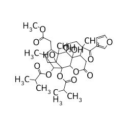 COC(=O)CC1C2(C)CC3(O)C(OC(=O)C(C)C)(C2OC(=O)C(C)C)C2OC(=O)CC4C(C)(C(=O)c5ccoc5)CCC(O)(C42O)C13C